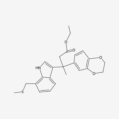 CCOC(=O)CC(C)(c1ccc2c(c1)OCCO2)c1c[nH]c2c(CSC)cccc12